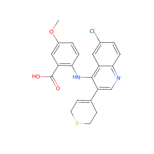 COc1ccc(Nc2c(C3=CCSCC3)cnc3ccc(Cl)cc23)c(C(=O)O)c1